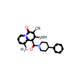 CSc1c(C#N)c(=O)n2cccc(C)c2c1C(=O)N1CCC(c2ccccc2)CC1